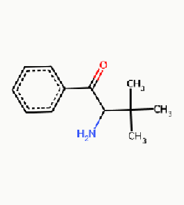 CC(C)(C)C(N)C(=O)c1ccccc1